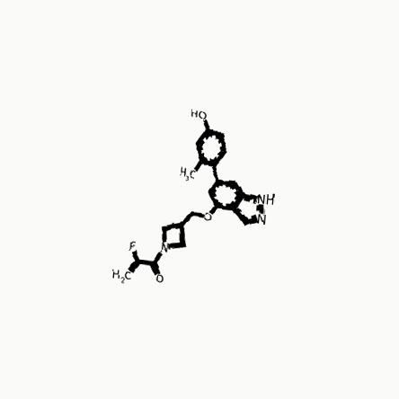 C=C(F)C(=O)N1CC(COc2cc(-c3ccc(O)cc3C)cc3[nH]ncc23)C1